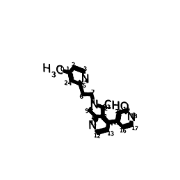 Cc1ccnc(CCN2Cc3nccc(-c4ccncc4)c3C2C=O)c1